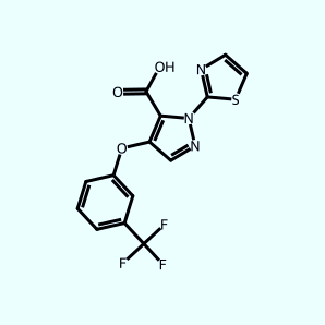 O=C(O)c1c(Oc2cccc(C(F)(F)F)c2)cnn1-c1nccs1